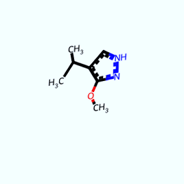 COc1n[nH]cc1C(C)C